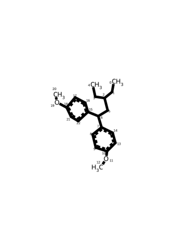 CCC(CC)CC(c1ccc(OC)cc1)c1ccc(OC)cc1